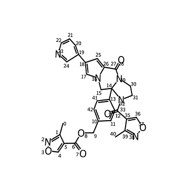 Cc1nocc1C(=O)OCc1ccc(C23Cn4cc(-c5cccnc5)cc4C(=O)N2CCN3C(=O)c2conc2C)cc1